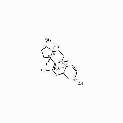 C[C@]12CC[C@H]3C(=C(O)CC4C[C@@H](O)C=C[C@@]43C)[C@@H]1CC[C@@H]2O